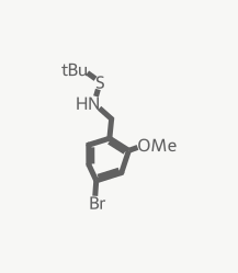 COc1cc(Br)ccc1CNSC(C)(C)C